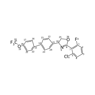 Fc1cccc(Cl)c1C1=NC(c2ccc(-c3ccc(OC(F)(F)F)cc3)cc2)CO1